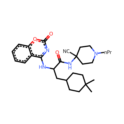 CCCN1CCC(C#N)(NC(=O)C(CC2CCC(C)(C)CC2)Nc2nc(=O)oc3ccccc23)CC1